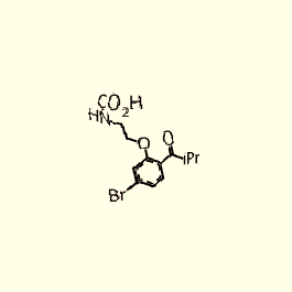 CC(C)C(=O)c1ccc(Br)cc1OCCNC(=O)O